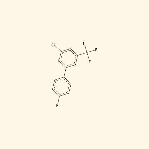 Fc1ccc(-c2cc(C(F)(F)F)cc(Cl)n2)cc1